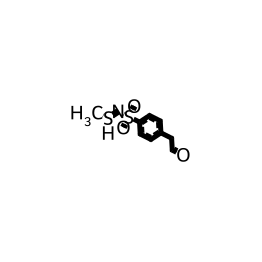 C[SH]=NS(=O)(=O)c1ccc(CC=O)cc1